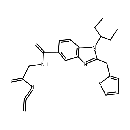 C=C=NC(=C)CNC(=C)c1ccc2c(c1)nc(Cc1cccs1)n2C(CC)CC